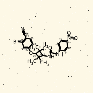 CC1(C)C(NC(=O)Nc2ccc([N+](=O)[O-])cc2)C(C)(C)C1Oc1ccc(C#N)c(Br)c1